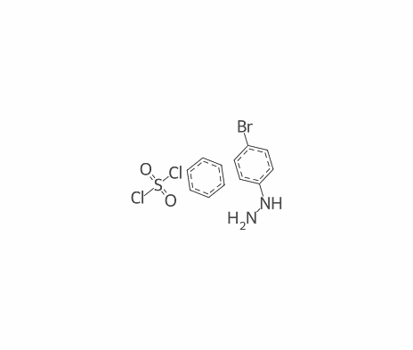 NNc1ccc(Br)cc1.O=S(=O)(Cl)Cl.c1ccccc1